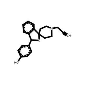 C#CCN1CCC2(CC1)OC(c1ccc(O)cc1)c1ccccc12